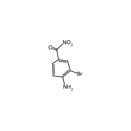 Nc1ccc(C(=O)[N+](=O)[O-])cc1Br